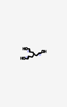 O/C=C/CP(C/C=C/O)C/C=C/O